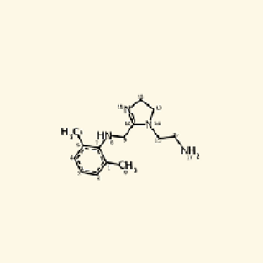 Cc1cccc(C)c1NCC1=NCCN1CCN